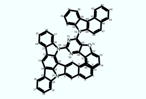 c1ccc2cc3c(cc2c1)c1c2c(cc4c5ccccc5n3c41)c1ccccc1n2-c1nc(-n2c3ccccc3c3c4ccccc4ccc32)c2oc3ccccc3c2n1